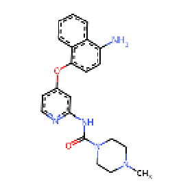 CN1CCN(C(=O)Nc2cc(Oc3ccc(N)c4ccccc34)ccn2)CC1